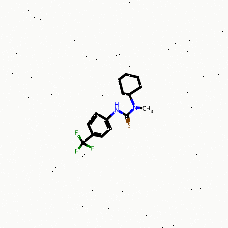 CN(C(=S)Nc1ccc(C(F)(F)F)cc1)C1CCCCC1